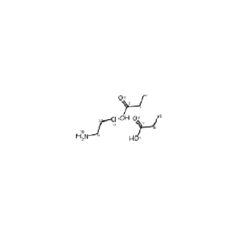 CCC(=O)O.CCC(=O)O.NCCCl